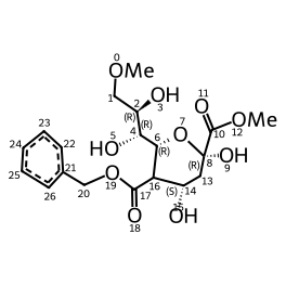 COC[C@@H](O)[C@@H](O)[C@@H]1O[C@@](O)(C(=O)OC)C[C@H](O)C1C(=O)OCc1ccccc1